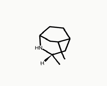 CC1CC2CCC1C[C@H](C)N2